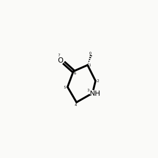 C[C@@H]1CNCCC1=O